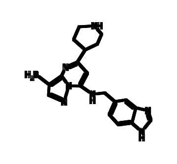 Bc1cnn2c(NCc3ccc4[nH]cnc4c3)cc(C3CCNCC3)nc12